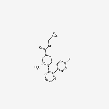 C[C@@H]1CN(C(=O)NCC2CC2)CCN1c1cncnc1-c1ccc(F)cc1